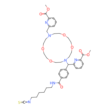 COC(=O)c1cccc(CN2CCOCCOCCN(C(c3ccc(C(=O)NCCCCCCN=C=S)cc3)c3cccc(C(=O)OC)n3)CCOCCOCC2)n1